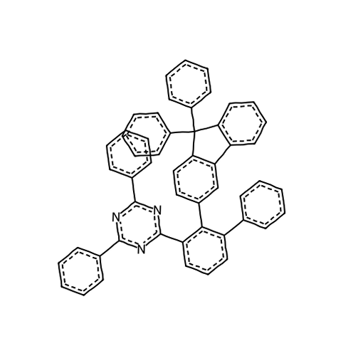 c1ccc(-c2nc(-c3ccccc3)nc(-c3cccc(-c4ccccc4)c3-c3ccc4c(c3)-c3ccccc3C4(c3ccccc3)c3ccccc3)n2)cc1